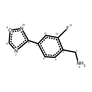 NCc1ccc(-c2ncon2)cc1F